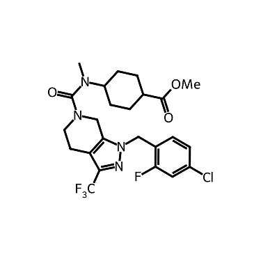 COC(=O)C1CCC(N(C)C(=O)N2CCc3c(C(F)(F)F)nn(Cc4ccc(Cl)cc4F)c3C2)CC1